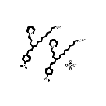 CCCCCCCCCCCCCCCCCCC(C=Cc1ccc(N(C)C)cc1)CCC[n+]1ccccc1.CCCCCCCCCCCCCCCCCCC(C=Cc1ccc(N(C)C)cc1)CCC[n+]1ccccc1.O=S(=O)([O-])[O-]